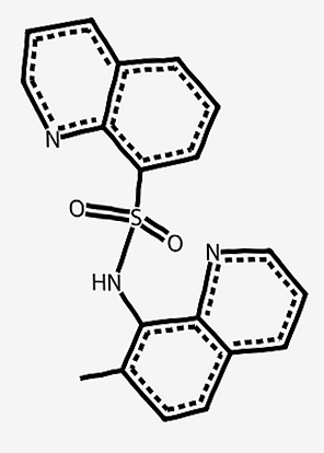 Cc1ccc2cccnc2c1NS(=O)(=O)c1cccc2cccnc12